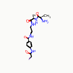 CC(C)[C@@H](NC(=O)[C@@H](C)N)C(=O)NCCCNC(=O)c1ccc(NC(=O)CI)cc1